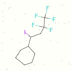 FC(F)(F)C(F)(F)CC(I)C1CCCCC1